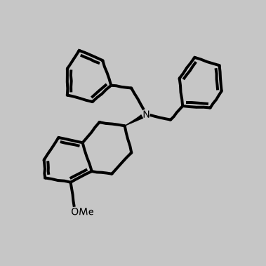 COc1cccc2c1CC[C@H](N(Cc1ccccc1)Cc1ccccc1)C2